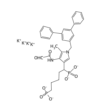 Cc1c(NC(=O)C=O)c(C(CCCCP(=O)([O-])[O-])P(=O)([O-])[O-])cn1Cc1cc(-c2ccccc2)cc(-c2ccccc2)c1.[K+].[K+].[K+].[K+]